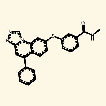 CNC(=O)c1cccc(Sc2ccc3c(-c4ccccc4)cc4nncn4c3c2)c1